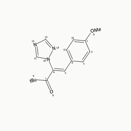 COc1ccc(C=C(C(=O)C(C)(C)C)n2cncn2)cc1